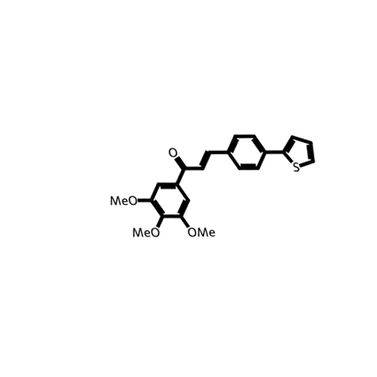 COc1cc(C(=O)C=Cc2ccc(-c3cccs3)cc2)cc(OC)c1OC